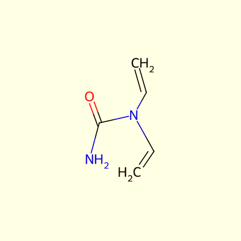 C=CN(C=C)C(N)=O